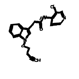 C#CCCOn1cc(CC(=O)Nc2ccncc2Cl)c2ccccc21